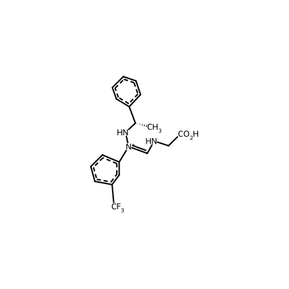 C[C@H](N[N+](=CNCC(=O)O)c1cccc(C(F)(F)F)c1)c1ccccc1